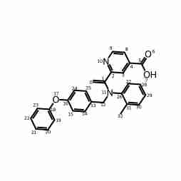 C=C(c1cc(C(=O)O)ccn1)N(Cc1ccc(Oc2ccccc2)cc1)c1ccccc1C